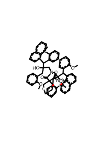 COc1ccccc1CC(O)(CN(CC(O)(Cc1ccccc1OC)C(c1ccccc1OC)c1cccc2ccccc12)C(=O)C1(C(N)=O)CCCCC1)C(c1ccccc1OC)c1cccc2ccccc12